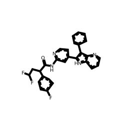 O=C(Nc1cc(-c2[nH]c3cccnc3c2-c2ccccc2)ccn1)C(CC(F)F)c1ccc(F)cc1